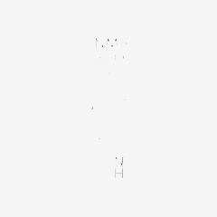 CNS(=O)(=O)c1ccc(C2CCNCC2)cc1